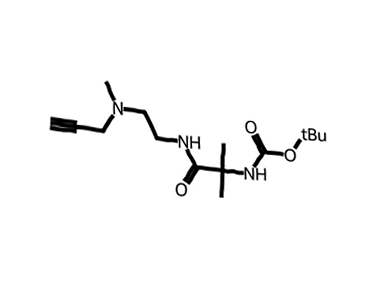 C#CCN(C)CCNC(=O)C(C)(C)NC(=O)OC(C)(C)C